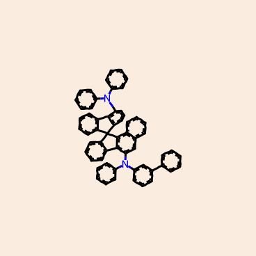 c1ccc(-c2cccc(N(c3ccccc3)c3cc4ccccc4c4c3-c3ccccc3C43c4ccccc4-c4c(N(c5ccccc5)c5ccccc5)cccc43)c2)cc1